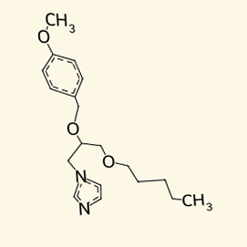 CCCCCOCC(Cn1ccnc1)OCc1ccc(OC)cc1